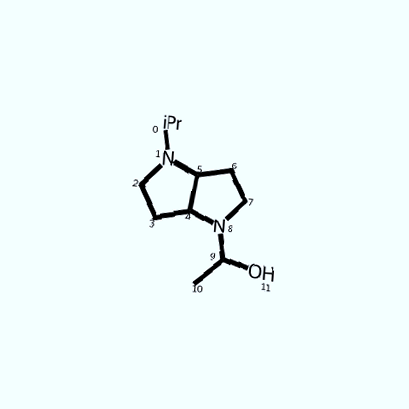 CC(C)N1CCC2C1CCN2C(C)O